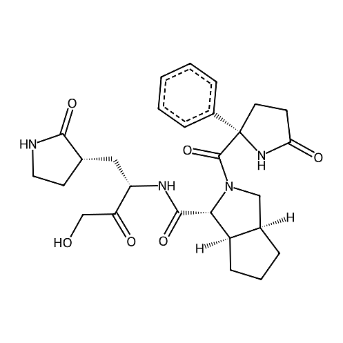 O=C1CC[C@@](C(=O)N2C[C@H]3CCC[C@H]3[C@@H]2C(=O)N[C@@H](C[C@@H]2CCNC2=O)C(=O)CO)(c2ccccc2)N1